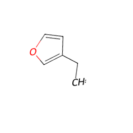 [CH]Cc1ccoc1